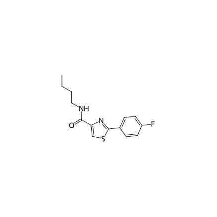 CCCCNC(=O)c1csc(-c2ccc(F)cc2)n1